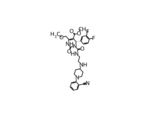 COCC1=C(C(=O)OC)[C@H](c2ccc(F)c(F)c2)N(C(=O)NCCNC2CCN(c3ccccc3C#N)CC2)C(=O)N1